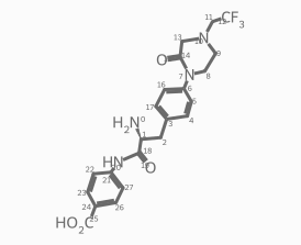 N[C@@H](Cc1ccc(N2CCN(CC(F)(F)F)CC2=O)cc1)C(=O)Nc1ccc(C(=O)O)cc1